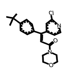 CC(C)(C)c1ccc(C(=CC(=O)N2CCOCC2)c2ccnc(Cl)c2)cc1